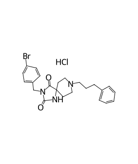 Cl.O=C1NC2(CCN(CCCc3ccccc3)CC2)C(=O)N1Cc1ccc(Br)cc1